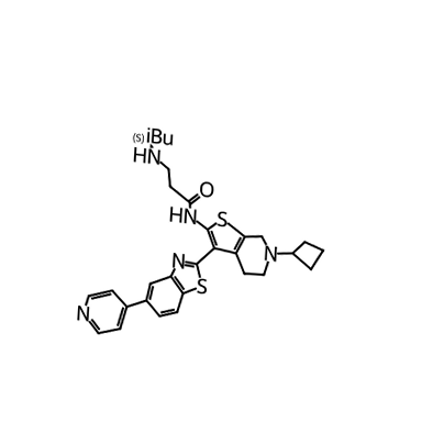 CC[C@H](C)NCCC(=O)Nc1sc2c(c1-c1nc3cc(-c4ccncc4)ccc3s1)CCN(C1CCC1)C2